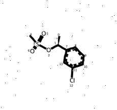 C[C@H](OS(C)(=O)=O)c1cccc(Cl)c1